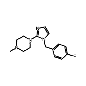 CN1CCN(c2nccn2Cc2ccc(F)cc2)CC1